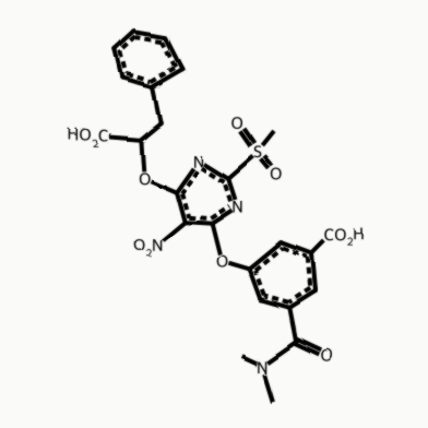 CN(C)C(=O)c1cc(Oc2nc(S(C)(=O)=O)nc(OC(Cc3ccccc3)C(=O)O)c2[N+](=O)[O-])cc(C(=O)O)c1